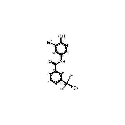 Cc1ncc(NC(=O)c2cccc(C(N)(F)F)c2)cc1Br